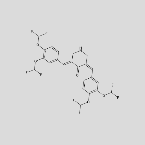 O=C1C(=Cc2ccc(OC(F)F)c(OC(F)F)c2)CNCC1=Cc1ccc(OC(F)F)c(OC(F)F)c1